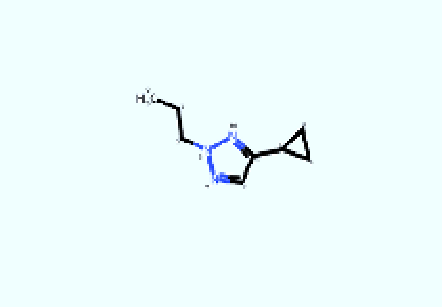 CCCn1ncc(C2CC2)n1